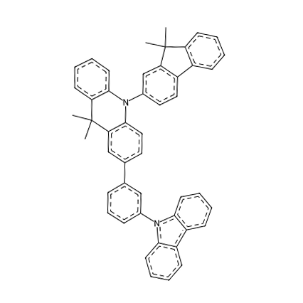 CC1(C)c2ccccc2-c2ccc(N3c4ccccc4C(C)(C)c4cc(-c5cccc(-n6c7ccccc7c7ccccc76)c5)ccc43)cc21